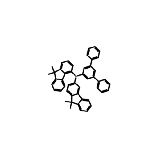 CC1(C)c2ccccc2-c2cc(N(c3cc(-c4ccccc4)cc(-c4ccccc4)c3)c3cccc4c3-c3ccccc3C4(C)C)ccc21